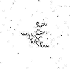 COc1ccc(C(O)(c2ccc(OC)cc2)c2ccc(OC)c(CCCC(=O)OC(C)(C)C)c2)cc1